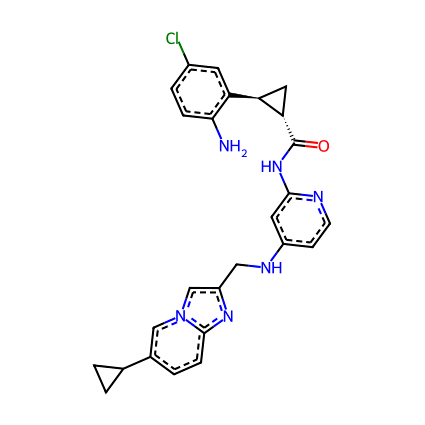 Nc1ccc(Cl)cc1[C@H]1C[C@@H]1C(=O)Nc1cc(NCc2cn3cc(C4CC4)ccc3n2)ccn1